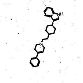 C1=C(c2ccccc2)CCN(CCC2CCC(c3c[nH]c4ccccc34)CC2)C1